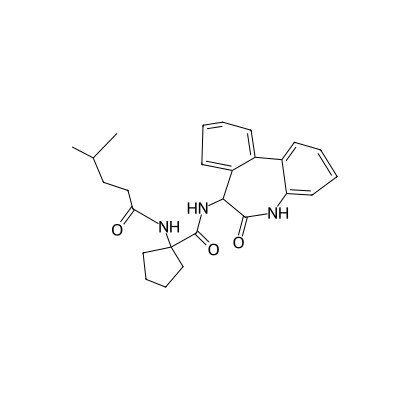 CC(C)CCC(=O)NC1(C(=O)NC2C(=O)Nc3ccccc3-c3ccccc32)CCCC1